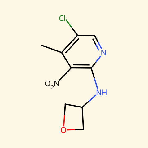 Cc1c(Cl)cnc(NC2COC2)c1[N+](=O)[O-]